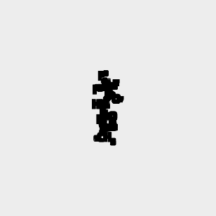 Cc1coc(NC(=O)C(F)(F)F)n1